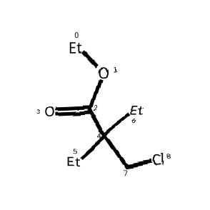 CCOC(=O)C(CC)(CC)CCl